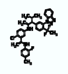 C=C(Nc1ccc(C)cc1F)c1cc(NC(=C)C(c2ccc(C(C)(F)F)c(-n3nnc4ccccc43)c2)C(C)C)ccc1Cl